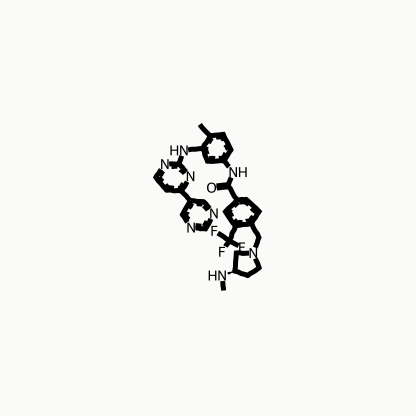 CN[C@H]1CCN(Cc2ccc(C(=O)Nc3ccc(C)c(Nc4nccc(-c5cncnc5)n4)c3)cc2C(F)(F)F)C1